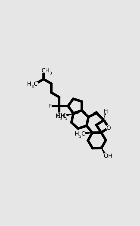 CC(C)CCCC(C)(F)C1CCC2C3C[C@@H]4CC5(C[C@@H](O)CC[C@]5(C)C3CC[C@@]21C)O4